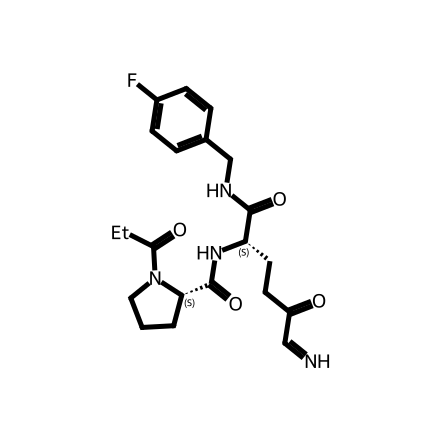 CCC(=O)N1CCC[C@H]1C(=O)N[C@@H](CCC(=O)C=N)C(=O)NCc1ccc(F)cc1